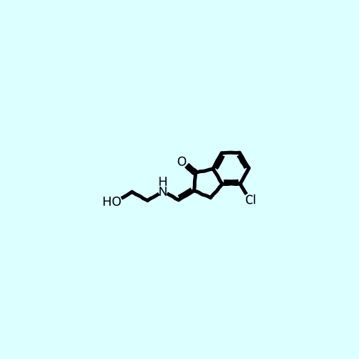 O=C1/C(=C\NCCO)Cc2c(Cl)cccc21